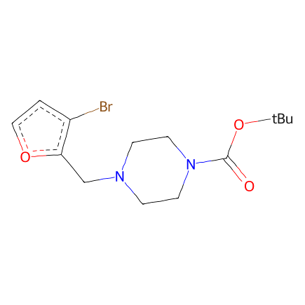 CC(C)(C)OC(=O)N1CCN(Cc2occc2Br)CC1